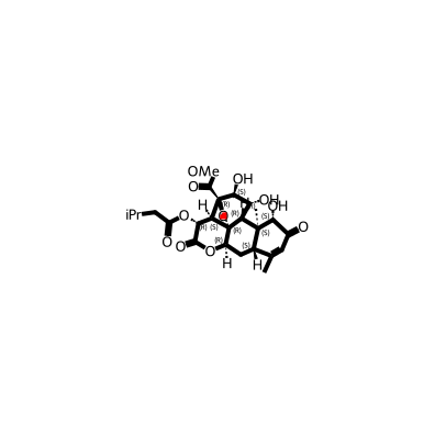 COC(=O)[C@]12OC[C@]34[C@H]([C@@H](O)[C@@H]1O)[C@@]1(C)[C@H](O)C(=O)C=C(C)[C@@H]1C[C@H]3OC(=O)[C@H](OC(=O)CC(C)C)[C@@H]24